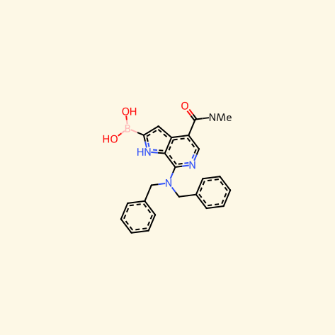 CNC(=O)c1cnc(N(Cc2ccccc2)Cc2ccccc2)c2[nH]c(B(O)O)cc12